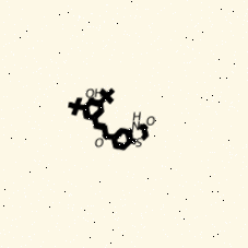 CC(C)(C)c1cc(C=CC(=O)c2ccc3c(c2)NC(=O)CS3)cc(C(C)(C)C)c1O